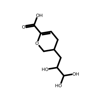 O=C(O)C1=CCC(CC(O)C(O)O)CO1